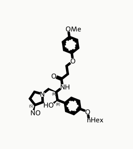 CCCCCCOc1ccc([C@@H](O)[C@@H](CN2CC[C@H](N=O)C2)NC(=O)CCOc2ccc(OC)cc2)cc1